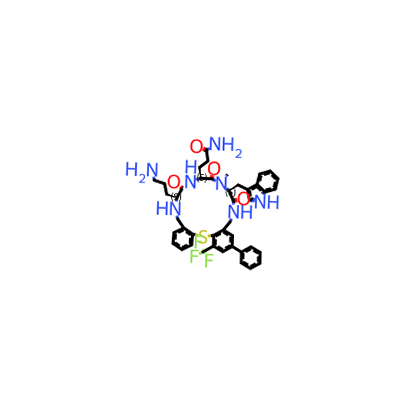 CN1C(=O)[C@H](CCC(N)=O)NC(=O)[C@H](CCCN)NCc2ccccc2Sc2c(cc(-c3ccccc3)cc2C(F)(F)F)CNC(=O)[C@@H]1Cc1c[nH]c2ccccc12